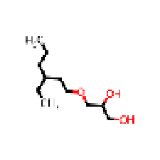 CCCC(CC)CCOCC(O)CO